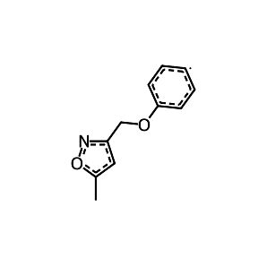 Cc1cc(COc2cc[c]cc2)no1